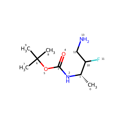 C[C@H](NC(=O)OC(C)(C)C)C(F)CN